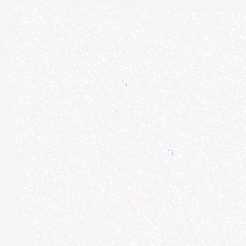 CN(c1ccc(F)cc1)c1cccc(Cn2cc(CC(=O)O)c3ccccc32)c1